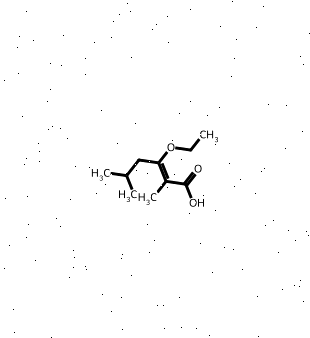 CCOC(CC(C)C)=C(C)C(=O)O